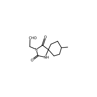 CC1CCC2(CC1)NC(=O)N(CC=O)C2=O